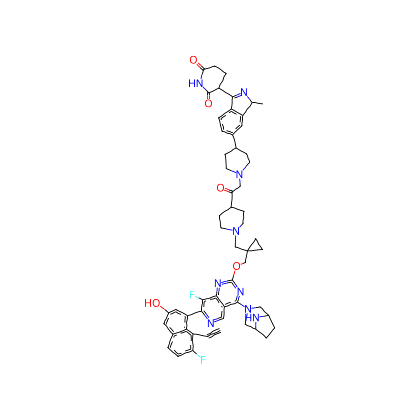 C#Cc1c(F)ccc2cc(O)cc(-c3ncc4c(N5CC6CCC(C5)N6)nc(OCC5(CN6CCC(C(=O)CN7CCC(c8ccc9c(c8)C(C)N=C9C8CCC(=O)NC8=O)CC7)CC6)CC5)nc4c3F)c12